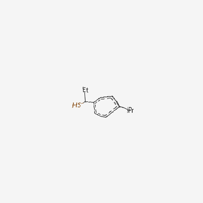 CCC(S)c1ccc(C(C)C)cc1